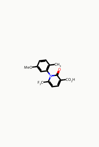 COc1ccc(C)c(-n2c(C(F)(F)F)ccc(C(=O)O)c2=O)c1